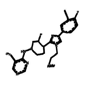 CNCCn1cc(-c2ccc(F)c(C)c2)nc1C1CCN(Nc2ncncc2C(C)C)CC1F